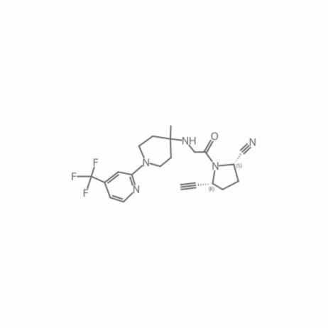 C#C[C@H]1CC[C@@H](C#N)N1C(=O)CNC1(C)CCN(c2cc(C(F)(F)F)ccn2)CC1